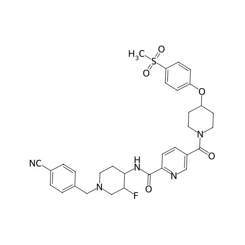 CS(=O)(=O)c1ccc(OC2CCN(C(=O)c3ccc(C(=O)NC4CCN(Cc5ccc(C#N)cc5)CC4F)nc3)CC2)cc1